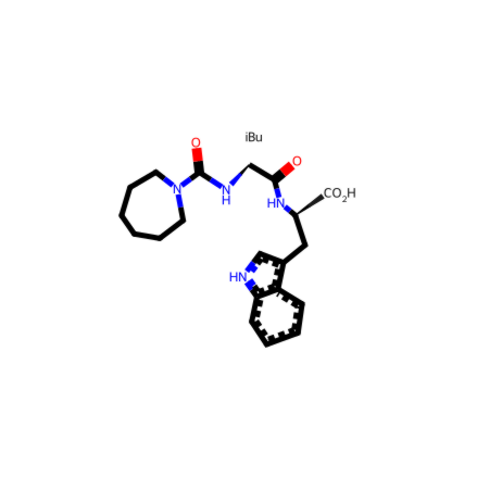 CC[C@H](C)[C@H](NC(=O)N1CCCCCC1)C(=O)N[C@H](Cc1c[nH]c2ccccc12)C(=O)O